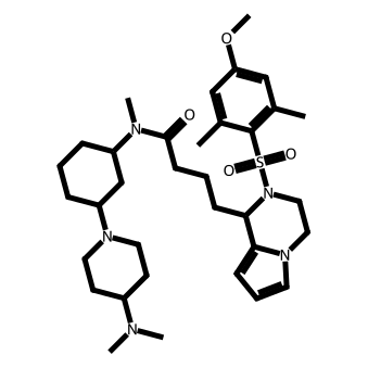 COc1cc(C)c(S(=O)(=O)N2CCn3cccc3C2CCCC(=O)N(C)C2CCCC(N3CCC(N(C)C)CC3)C2)c(C)c1